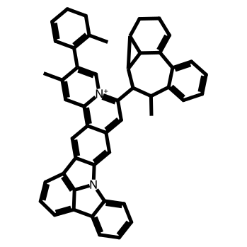 CC1=C(c2c[n+]3c(C4C(C)c5ccccc5C5=CCCC6C5C64)cc4cc5c(cc4c3cc2C)c2cccc3c4ccccc4n5c32)C=CCC1